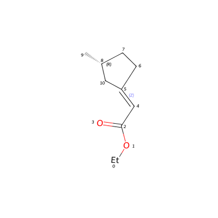 CCOC(=O)/C=C1/CC[C@@H](C)C1